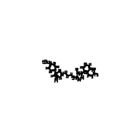 Cc1ccc2c(-c3nnc(SCCCN4C[C@H]5C[C@@]5(c5ccc(C(C)(C)C)cc5)C4)n3C)cccc2n1